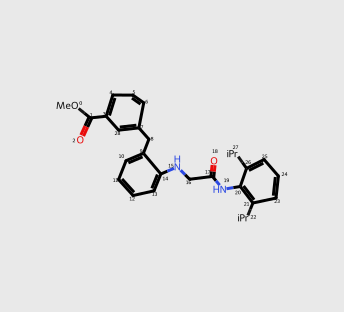 COC(=O)c1cccc(Cc2ccccc2NCC(=O)Nc2c(C(C)C)cccc2C(C)C)c1